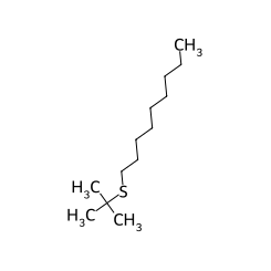 CCCCCCCCCSC(C)(C)C